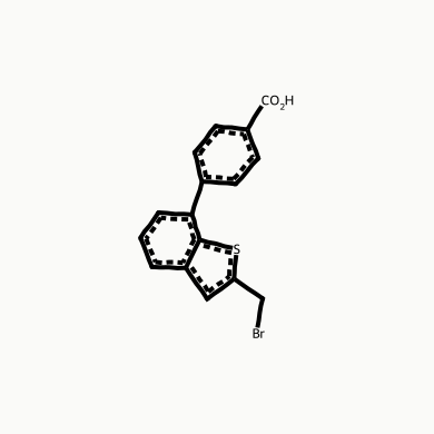 O=C(O)c1ccc(-c2cccc3cc(CBr)sc23)cc1